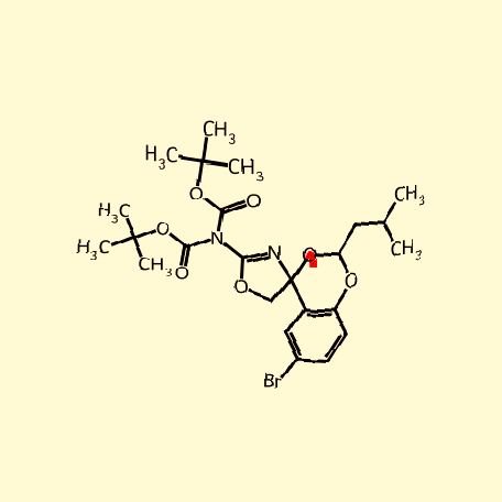 CC(C)CC1Oc2ccc(Br)cc2C2(COC(N(C(=O)OC(C)(C)C)C(=O)OC(C)(C)C)=N2)C12COC2